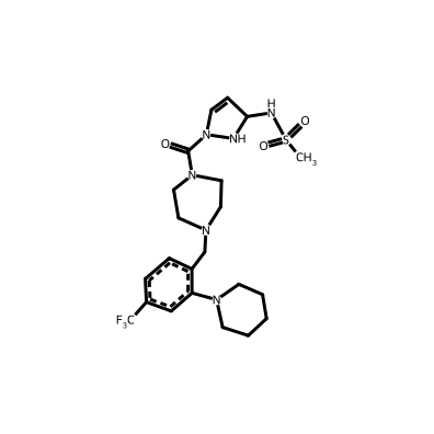 CS(=O)(=O)NC1C=CN(C(=O)N2CCN(Cc3ccc(C(F)(F)F)cc3N3CCCCC3)CC2)N1